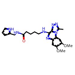 COc1cc2nc(NCCCCC(=O)NCc3ccc[nH]3)c3nnc(C)n3c2cc1OC